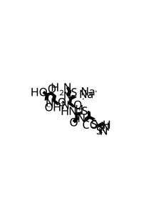 Nc1nc(C(=NOCc2cc(=O)c(O)cn2O)C(=O)N[C@@H]2C(=O)N3C(C(=O)O)=C(CSc4cnns4)CS[C@H]23)cs1.[Na].[Na]